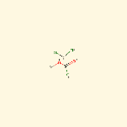 COC(=O)Cl.ClCCl